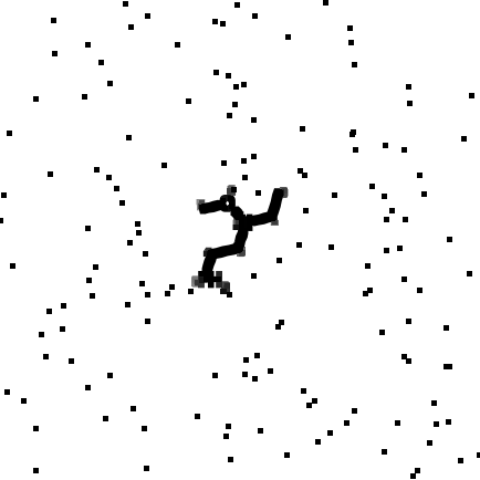 CCN(CCP)OC